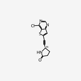 O=C1CC[C@H](C#Cc2cc3ncnc(Cl)c3s2)N1